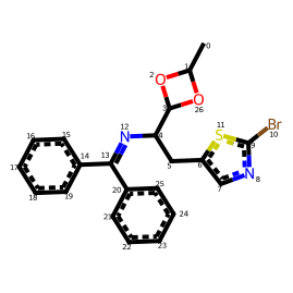 CC1OC(C(Cc2cnc(Br)s2)N=C(c2ccccc2)c2ccccc2)O1